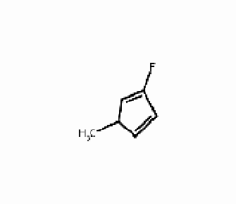 CC1C=CC(F)=C1